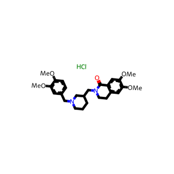 COc1ccc(CN2CCCC(CN3CCc4cc(OC)c(OC)cc4C3=O)C2)cc1OC.Cl